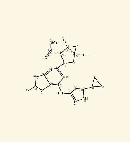 CNC(=O)[C@@H]1[C@H]2C[C@H]2CN1c1nc(Nc2cc(C3CC3)[nH]n2)c2sc(C)cc2n1